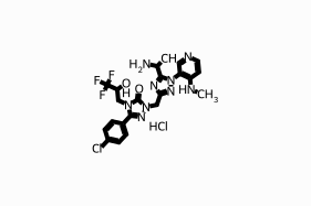 CNc1ccncc1-n1nc(Cn2nc(-c3ccc(Cl)cc3)n(CC(O)C(F)(F)F)c2=O)nc1C(C)N.Cl